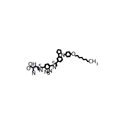 CCCCCCCCOc1ccc(N2c3ccc(-c4cnc(-c5ccc(-c6ncc(/C=C(\C#N)C(=O)O)s6)c6nsnc56)s4)cc3C3CCCC32)cc1